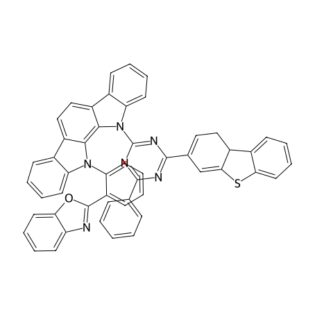 C1=C(c2nc(-c3ccccc3)nc(-n3c4ccccc4c4ccc5c6ccccc6n(-c6ccccc6-c6nc7ccccc7o6)c5c43)n2)C=C2Sc3ccccc3C2C1